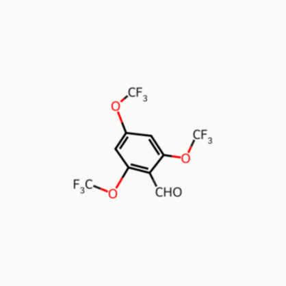 O=Cc1c(OC(F)(F)F)cc(OC(F)(F)F)cc1OC(F)(F)F